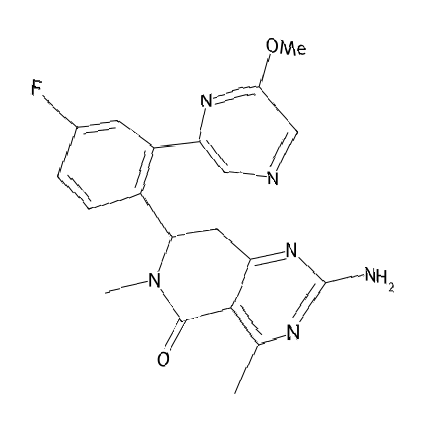 COc1cncc(-c2cc(F)ccc2C2Cc3nc(N)nc(C)c3C(=O)N2C)n1